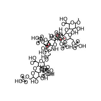 COC1OC(C(=O)O)C(OC(OC(COS(=O)(=O)O)[C@H](C)OC(OS(=O)(=O)O)C(O)C(OC(NP(CNOC2OC(C(=O)O)C(OC3OC(COS(=O)(=O)O)C(O)C(O)C3NS(=O)(=O)O)C(O)C2OS(=O)(=O)O)S(=O)(=O)O)O/C=C\OS(=O)(=O)O)C(OC)C(=O)O)[C@H](CO)NS(=O)(=O)O)C(O)C1O